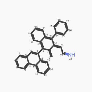 C=c1c(-c2cc3ccccc3c3ccccc23)c2ccccc2c(-c2ccccc2)/c1=C/C=N